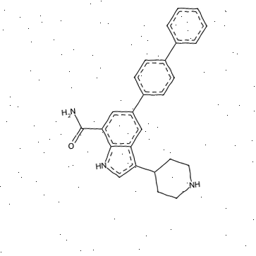 NC(=O)c1cc(-c2ccc(-c3ccccc3)cc2)cc2c(C3CCNCC3)c[nH]c12